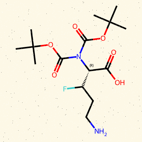 CC(C)(C)OC(=O)N(C(=O)OC(C)(C)C)[C@H](C(=O)O)C(F)CCN